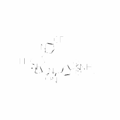 Cn1ncc(-c2nc(-c3ccc(S(N)(=O)=O)cc3)no2)c1CCc1ccc(C(F)(F)F)cn1